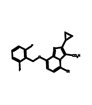 CCc1ccc(OCc2c(F)cccc2F)c2nc(C3CC3)c(C(=O)O)n12